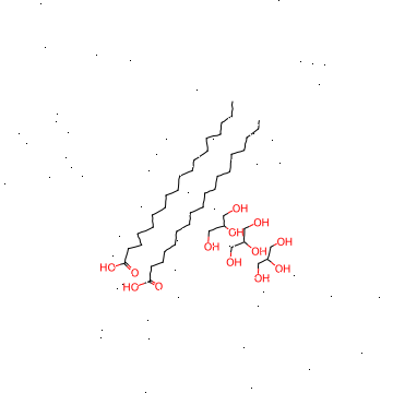 CCCCCCCCCCCCCCCCCC(=O)O.CCCCCCCCCCCCCCCCCC(=O)O.OCC(O)CO.OCC(O)CO.OCC(O)CO